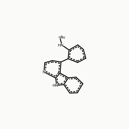 CCCCNc1ccccc1-c1ccnc2[nH]c3ccccc3c12